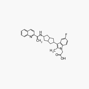 C=C(NC1CC2CC(c3c(C)n(CC(=O)O)c4ccc(F)cc34)CC2C1)c1ccc2ccccc2n1